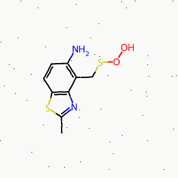 Cc1nc2c(CSOO)c(N)ccc2s1